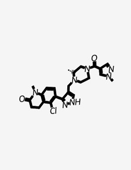 C[C@@H]1CN(C(=O)c2cnn(C)c2)CCN1Cc1c[nH]nc1-c1ccc2c(c1Cl)CCC(=O)N2C